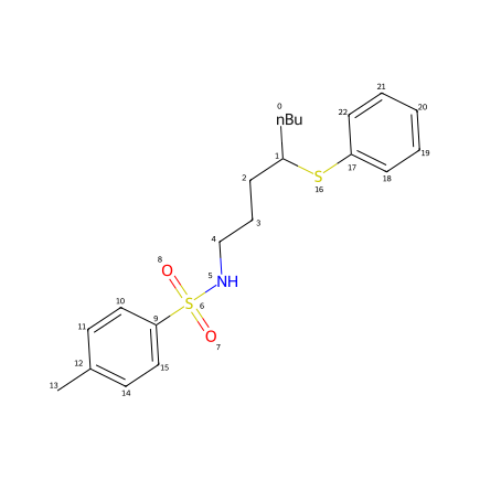 CCCCC(CCCNS(=O)(=O)c1ccc(C)cc1)Sc1ccccc1